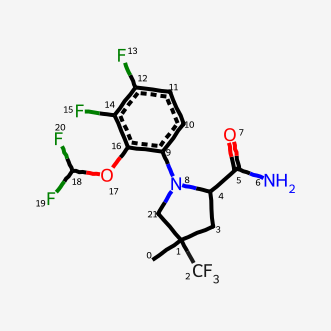 CC1(C(F)(F)F)CC(C(N)=O)N(c2ccc(F)c(F)c2OC(F)F)C1